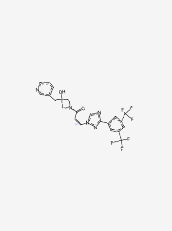 O=C(/C=C\n1cnc(-c2cc(C(F)(F)F)cc(C(F)(F)F)c2)n1)N1CC(O)(Cc2cccnc2)C1